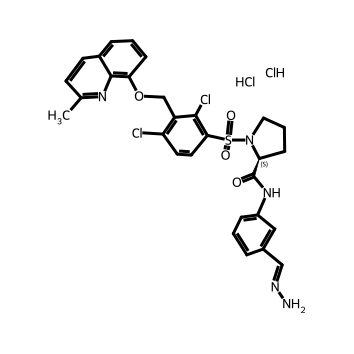 Cc1ccc2cccc(OCc3c(Cl)ccc(S(=O)(=O)N4CCC[C@H]4C(=O)Nc4cccc(C=NN)c4)c3Cl)c2n1.Cl.Cl